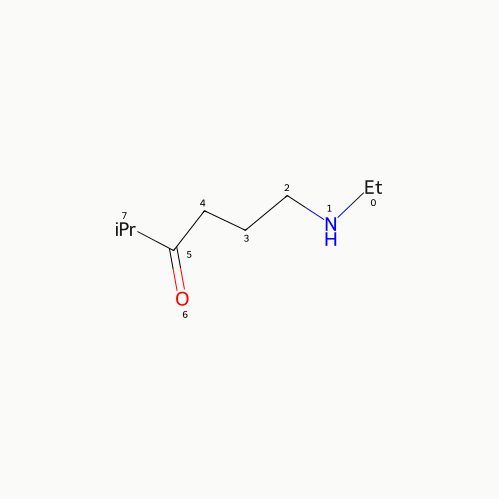 CCNCCCC(=O)C(C)C